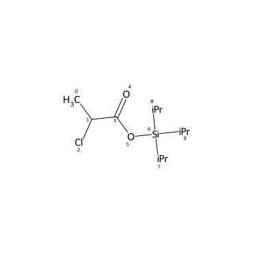 CC(Cl)C(=O)O[Si](C(C)C)(C(C)C)C(C)C